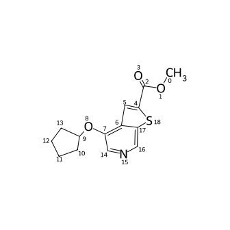 COC(=O)c1cc2c(OC3CCCC3)cncc2s1